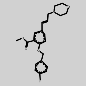 COC(=O)c1cc(C=CCN2CCOCC2)ccc1OCc1ccc(F)cc1